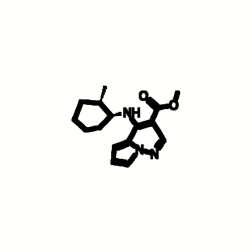 COC(=O)c1cnn2cccc2c1N[C@@H]1CCCC[C@@H]1C